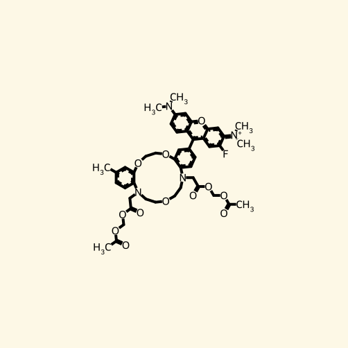 CC(=O)OCOC(=O)CN1CCOCCN(CC(=O)OCOC(C)=O)c2ccc(-c3c4cc(F)c(=[N+](C)C)cc-4oc4cc(N(C)C)ccc34)cc2OCCOc2cc(C)ccc21